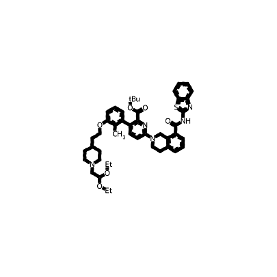 CCOC(CN1CCC(CCOc2cccc(-c3ccc(N4CCc5cccc(C(=O)Nc6nc7ccccc7s6)c5C4)nc3C(=O)OC(C)(C)C)c2C)CC1)OCC